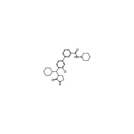 O=C(NN1CCCCC1)c1cccc(-c2ccc(C(C3CCCCC3)C3CCNC3=O)c(Cl)c2)c1